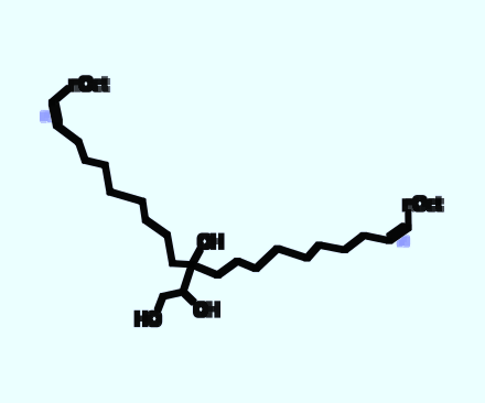 CCCCCCCC/C=C\CCCCCCCCC(O)(CCCCCCCC/C=C\CCCCCCCC)C(O)CO